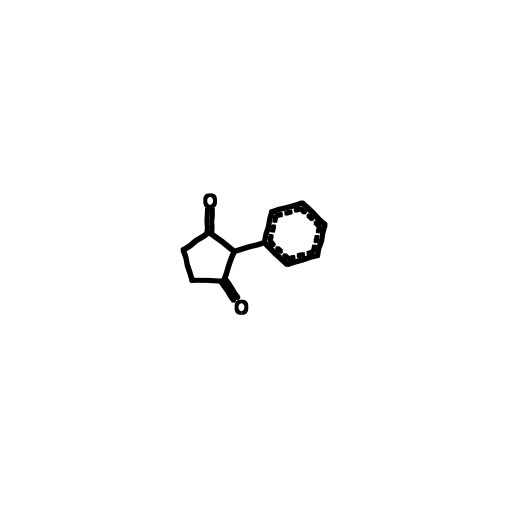 O=C1CCC(=O)C1c1ccccc1